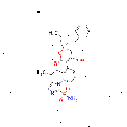 CCCc1c(C2=C(O)CC(CCC)(CCc3ccccc3)OC2=O)cccc1-n1ccnc1S(N)(=O)=O